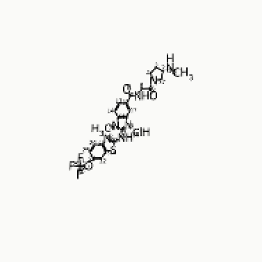 CN[C@H]1CCN(C(=O)CNC(=O)c2ccc3c(c2)nc(Nc2nc4ccc(OC(F)(F)F)cc4s2)n3C)C1.Cl